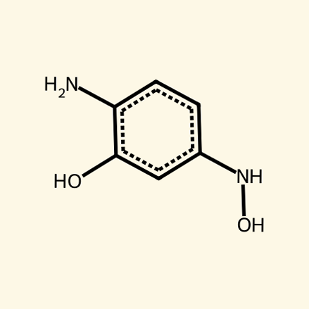 Nc1ccc(NO)cc1O